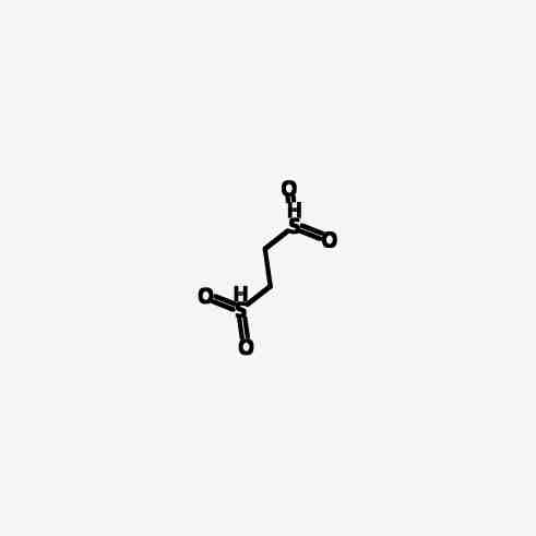 O=[SH](=O)CC[SH](=O)=O